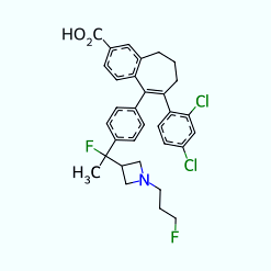 CC(F)(c1ccc(C2=C(c3ccc(Cl)cc3Cl)CCCc3cc(C(=O)O)ccc32)cc1)C1CN(CCCF)C1